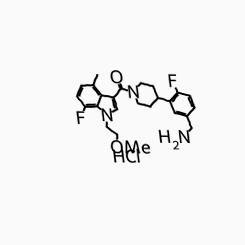 COCCn1cc(C(=O)N2CCC(c3cc(CN)ccc3F)CC2)c2c(C)ccc(F)c21.Cl